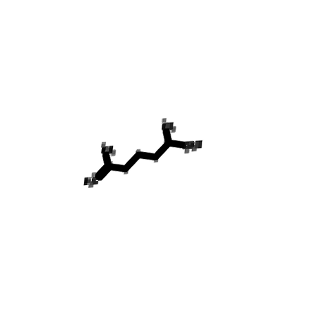 C=C(C)CCCC(C)C(=O)O